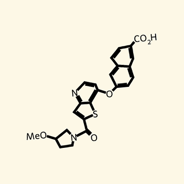 COC1CCN(C(=O)c2cc3nccc(Oc4ccc5cc(C(=O)O)ccc5c4)c3s2)C1